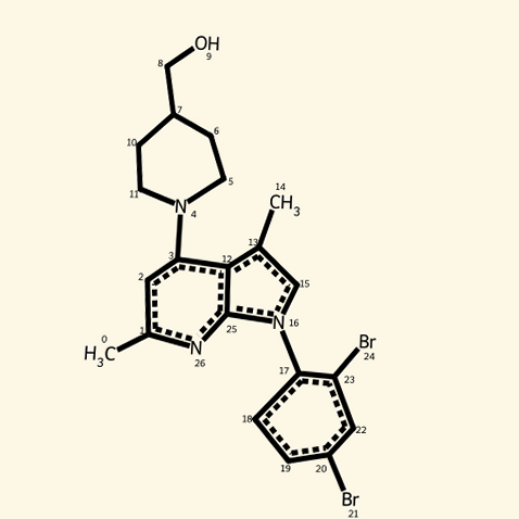 Cc1cc(N2CCC(CO)CC2)c2c(C)cn(-c3ccc(Br)cc3Br)c2n1